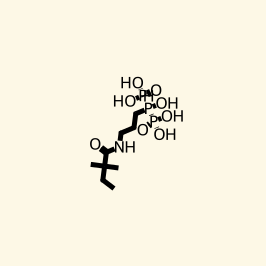 CCC(C)(C)C(=O)NCCC[PH](O)(P(=O)(O)O)P(=O)(O)O